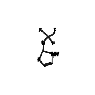 FC(F)(F)OC1[N]C=CN1